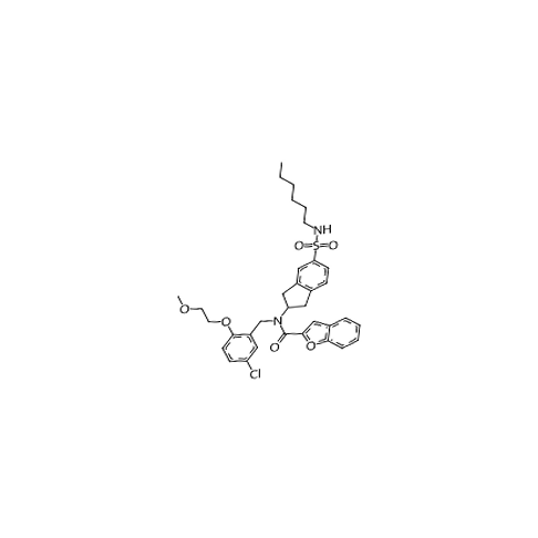 CCCCCCNS(=O)(=O)c1ccc2c(c1)CC(N(Cc1cc(Cl)ccc1OCCOC)C(=O)c1cc3ccccc3o1)C2